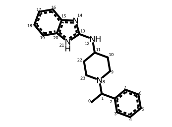 CC(c1ccccc1)N1CCC(Nc2nc3ccccc3[nH]2)CC1